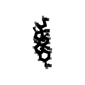 CC(=O)OCC(=O)[C@@]1(O)[C@@H](C)C[C@H]2[C@@H]3CC=C4C[C@@H](OC(C)=O)CC[C@]4(C)[C@H]3CC[C@@]21C